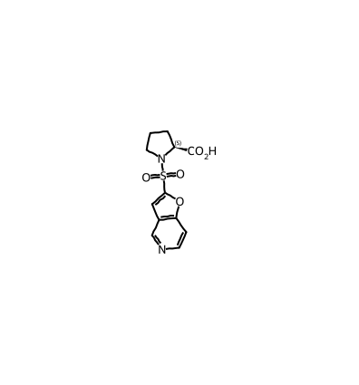 O=C(O)[C@@H]1CCCN1S(=O)(=O)c1cc2cnccc2o1